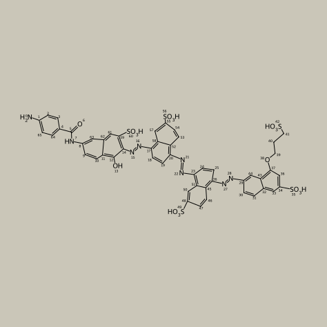 Nc1ccc(C(=O)Nc2ccc3c(O)c(N=Nc4ccc(N=Nc5ccc(N=Nc6ccc7cc(S(=O)(=O)O)cc(OCCCS(=O)(=O)O)c7c6)c6ccc(S(=O)(=O)O)cc56)c5ccc(S(=O)(=O)O)cc45)c(S(=O)(=O)O)cc3c2)cc1